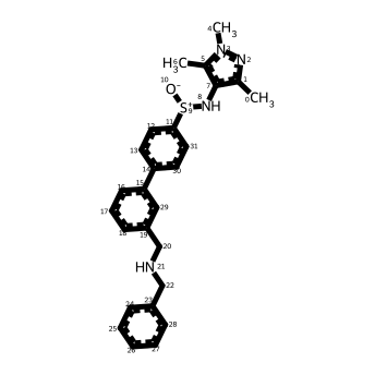 Cc1nn(C)c(C)c1N[S+]([O-])c1ccc(-c2cccc(CNCc3ccccc3)c2)cc1